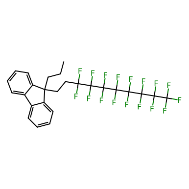 CCCC1(CCC(F)(F)C(F)(F)C(F)(F)C(F)(F)C(F)(F)C(F)(F)C(F)(F)C(F)(F)F)c2ccccc2-c2ccccc21